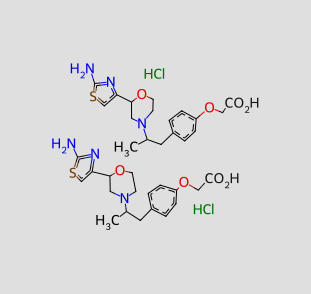 CC(Cc1ccc(OCC(=O)O)cc1)N1CCOC(c2csc(N)n2)C1.CC(Cc1ccc(OCC(=O)O)cc1)N1CCOC(c2csc(N)n2)C1.Cl.Cl